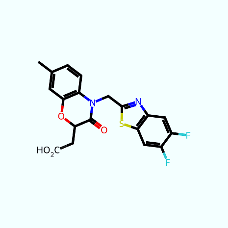 Cc1ccc2c(c1)OC(CC(=O)O)C(=O)N2Cc1nc2cc(F)c(F)cc2s1